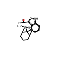 COC1(c2cccc3[nH]nc(C(F)(F)F)c23)C2CCCC1CNC2